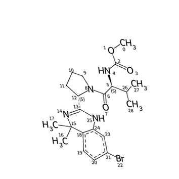 COC(=O)N[C@H](C(=O)N1CCC[C@H]1C1=NC(C)(C)c2ccc(Br)cc2N1)C(C)C